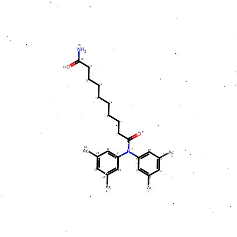 CC(=O)c1cc(C(C)=O)cc(N(C(=O)CCCCCCCCC(N)=O)c2cc(C(C)=O)cc(C(C)=O)c2)c1